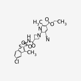 CCOC(=O)c1cc(C#N)c(N2CC(C(=O)NS(=O)(=O)c3sc4ccc(Cl)cc4c3C)C2)nc1C